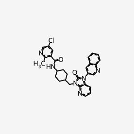 Cc1ncc(Cl)cc1C(=O)NC1CCC(Cn2c(=O)n(-c3cnc4ccccc4c3)c3cccnc32)CC1